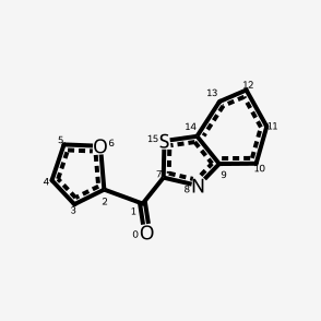 O=C(c1ccco1)c1nc2ccccc2s1